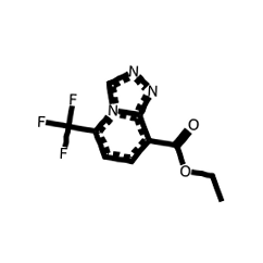 CCOC(=O)c1ccc(C(F)(F)F)n2cnnc12